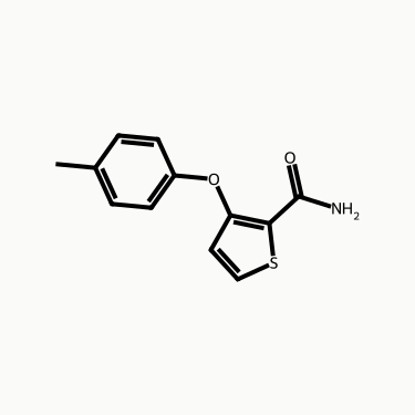 Cc1ccc(Oc2ccsc2C(N)=O)cc1